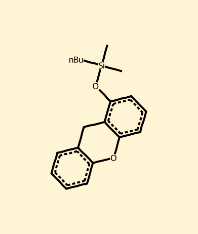 CCCC[Si](C)(C)Oc1cccc2c1Cc1ccccc1O2